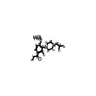 CCC(=O)c1ccc(C)c(N2CCN(CC(C)C)CC2)c1C.Cl.Cl